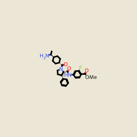 COC(=O)c1ccc(NC(=O)[C@@H]2[C@H](c3ccccc3)CCN2C(=O)[C@H]2CC[C@H](C(C)N)CC2)cc1F